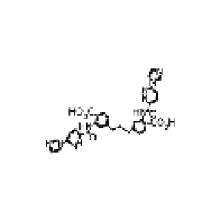 O=C(Nc1cc(CCCc2ccc(C(=O)O)c(NC(=O)c3ccc(-n4ccnc4)nn3)c2)ccc1C(=O)O)c1ccc(-n2ccnc2)nn1